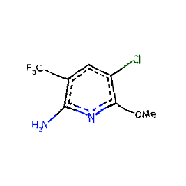 COc1nc(N)c(C(F)(F)F)cc1Cl